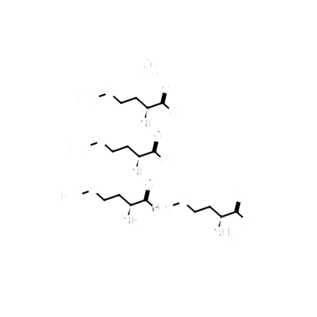 CSCC[C@H](N)C(=O)[O-].CSCC[C@H](N)C(=O)[O-].CSCC[C@H](N)C(=O)[O-].CSCC[C@H](N)C(=O)[O-].[Ca+2].[Zn+2]